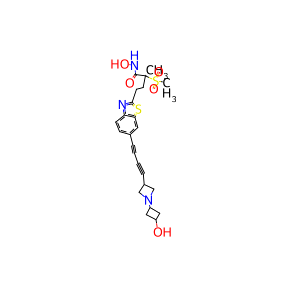 CC(CCc1nc2ccc(C#CC#CC3CN(C4CC(O)C4)C3)cc2s1)(C(=O)NO)S(C)(=O)=O